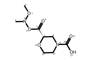 CON(C)OC(=O)[C@@H]1CN(C(=O)O)CCO1